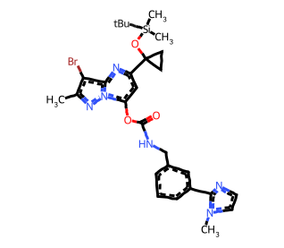 Cc1nn2c(OC(=O)NCc3cccc(-c4nccn4C)c3)cc(C3(O[Si](C)(C)C(C)(C)C)CC3)nc2c1Br